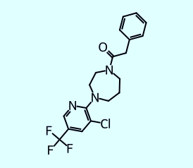 O=C(Cc1ccccc1)N1CCCN(c2ncc(C(F)(F)F)cc2Cl)CC1